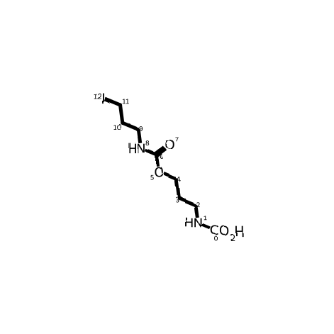 O=C(O)NCCCOC(=O)NCCCI